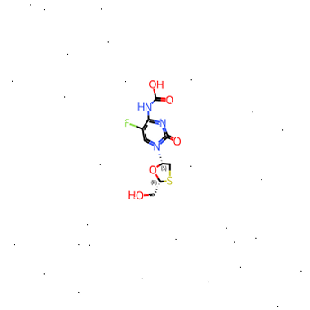 O=C(O)Nc1nc(=O)n([C@@H]2CS[C@H](CO)O2)cc1F